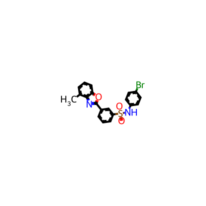 Cc1cccc2oc(-c3cccc(S(=O)(=O)Nc4ccc(Br)cc4)c3)nc12